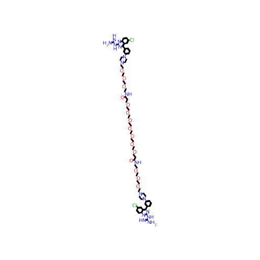 N=C(N)Nc1nc(-c2cccc(N3CCN(CCOCCOCCOCCNC(=O)CCOCCOCCOCCOCCOCCOCCOCCC(=O)NCCOCCOCCOCCN4CCN(c5cccc(-c6nc(NC(=N)N)nc7ccc(Cl)cc67)c5)CC4)CC3)c2)c2cc(Cl)ccc2n1